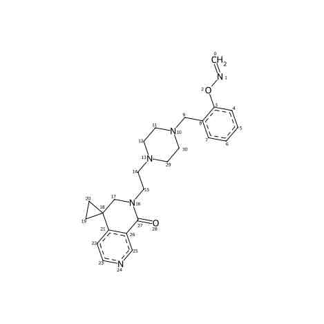 C=NOc1ccccc1CN1CCN(CCN2CC3(CC3)c3ccncc3C2=O)CC1